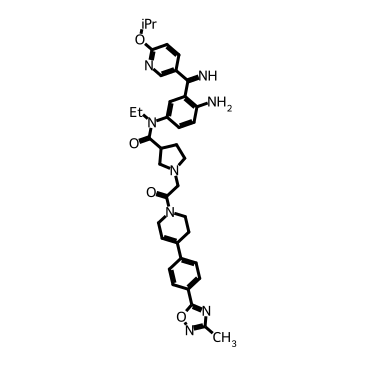 CCN(C(=O)C1CCN(CC(=O)N2CC=C(c3ccc(-c4nc(C)no4)cc3)CC2)C1)c1ccc(N)c(C(=N)c2ccc(OC(C)C)nc2)c1